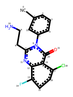 N#Cc1cccc(-n2c(CCN)nc3c(F)ccc(Cl)c3c2=O)c1